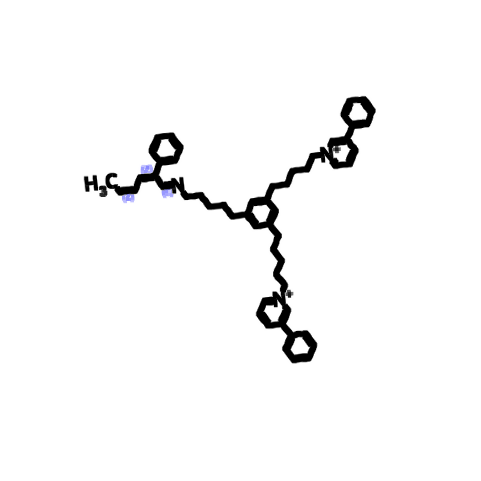 C\C=C/C=C(\C=N\CCCCCc1cc(CCCCC[n+]2cccc(-c3ccccc3)c2)cc(CCCCC[n+]2cccc(-c3ccccc3)c2)c1)c1ccccc1